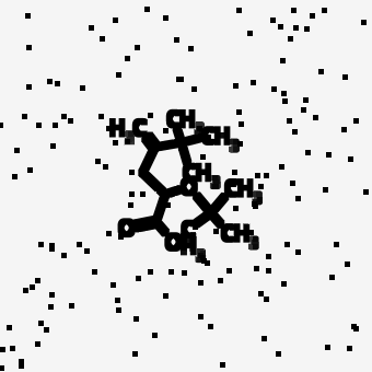 C=C(CC(OC(C)(C)C)C(=O)O)C(C)(C)C